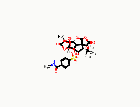 CNC(=O)c1ccc(S(=O)(=O)O[C@H]2C3OC(=O)[C@]45OC6OC(=O)[C@H](O)C6([C@@H]2C(C)(C)C)C34[C@@H](O)[C@@H]2OC(=O)[C@@H](C)[C@@]25O)cc1